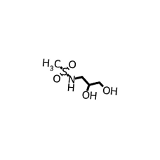 CS(=O)(=O)NCC(O)CO